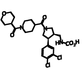 O=C(O)NC[C@@H]1CN(C(=O)C2CCN(C(=O)C3CCOCC3)CC2)C[C@@H]1c1ccc(Cl)c(Cl)c1